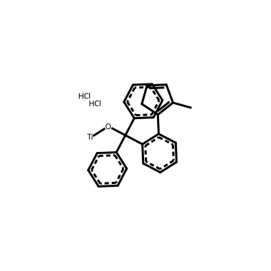 CC1=C(c2ccccc2C([O][Ti])(c2ccccc2)c2ccccc2)CC=C1.Cl.Cl